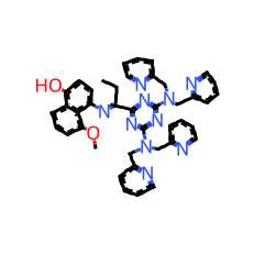 CC/C(=N\c1ccc(O)c2cccc(OC)c12)c1nc(N(Cc2ccccn2)Cc2ccccn2)nc(N(Cc2ccccn2)Cc2ccccn2)n1